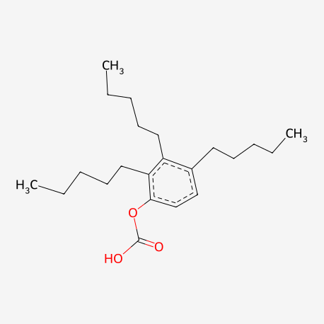 CCCCCc1ccc(OC(=O)O)c(CCCCC)c1CCCCC